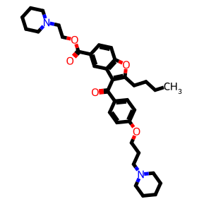 CCCCc1oc2ccc(C(=O)OCCN3CCCCC3)cc2c1C(=O)c1ccc(OCCCN2CCCCC2)cc1